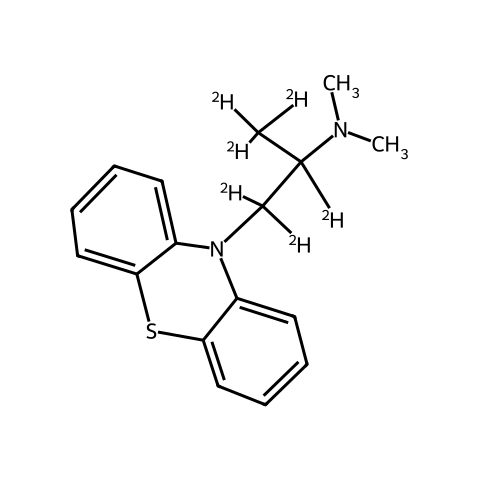 [2H]C([2H])([2H])C([2H])(N(C)C)C([2H])([2H])N1c2ccccc2Sc2ccccc21